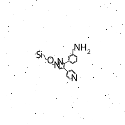 C[Si](C)(C)CCOCn1cc(-c2ccncc2)c(-c2cccc(CN)c2)n1